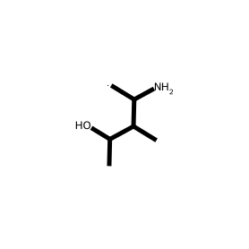 [CH2]C(N)C(C)C(C)O